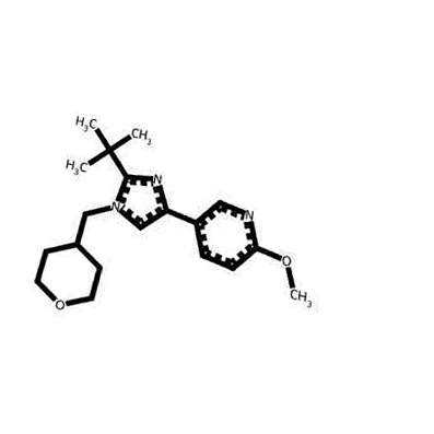 COc1ccc(-c2cn(CC3CCOCC3)c(C(C)(C)C)n2)cn1